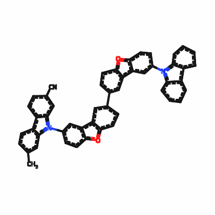 Cc1ccc2c3ccc(C#N)cc3n(-c3ccc4oc5ccc(-c6ccc7oc8ccc(-n9c%10ccccc%10c%10ccccc%109)cc8c7c6)cc5c4c3)c2c1